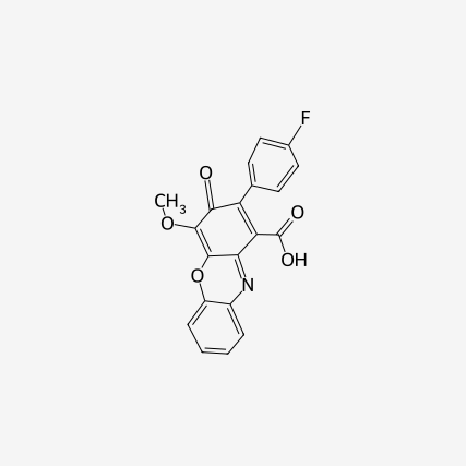 COc1c2oc3ccccc3nc-2c(C(=O)O)c(-c2ccc(F)cc2)c1=O